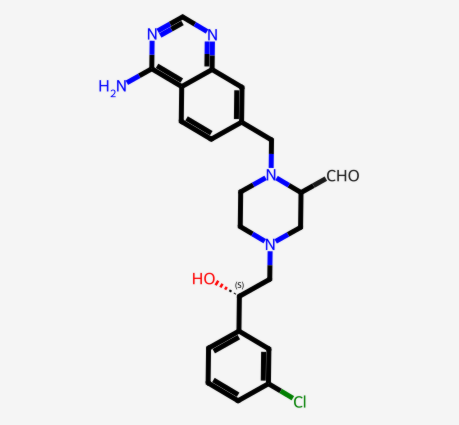 Nc1ncnc2cc(CN3CCN(C[C@@H](O)c4cccc(Cl)c4)CC3C=O)ccc12